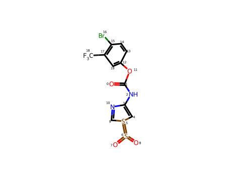 O=C(NC1=CS(=S(=O)=O)C=N1)Oc1ccc(Br)c(C(F)(F)F)c1